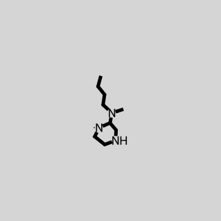 CCCCN(C)C1CNCC[N]1